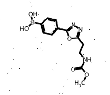 COC(=O)NCCc1nnc(-c2ccc(B(O)O)cc2)o1